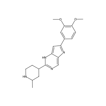 COc1ccc(-c2cc3[nH]c(C4CCNC(C)C4)ncc-3n2)cc1OC